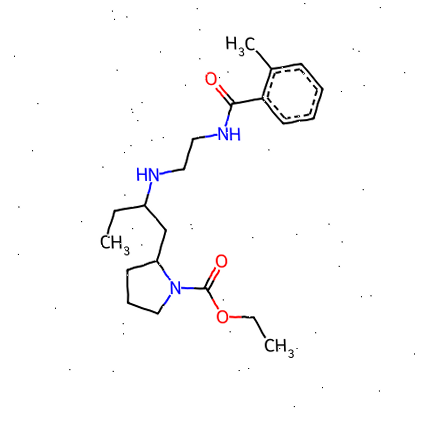 CCOC(=O)N1CCCC1CC(CC)NCCNC(=O)c1ccccc1C